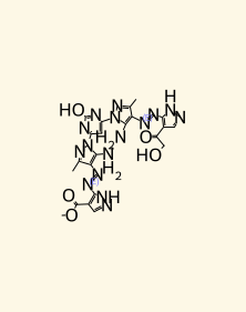 COC(=O)c1cn[nH]c1/N=N/c1c(C)nn(-c2cc(-n3nc(C)c(/N=N/c4[nH]ncc4C(=O)CO)c3N)nc(O)n2)c1N